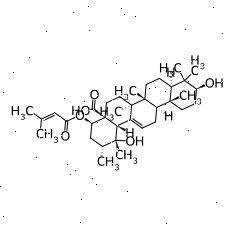 CC(C)=CC(=O)O[C@@H]1C[C@@H](C)[C@@](C)(O)[C@H]2C3=CC[C@@H]4[C@@]5(C)CC[C@H](O)C(C)(C)[C@@H]5CC[C@@]4(C)[C@]3(C)CC[C@]21C(=O)O